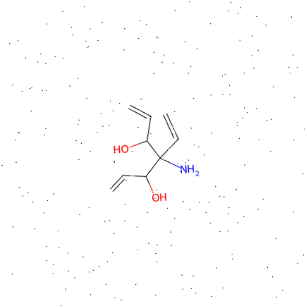 C=CC(O)C(N)(C=C)C(O)C=C